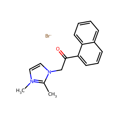 Cc1n(CC(=O)c2cccc3ccccc23)cc[n+]1C.[Br-]